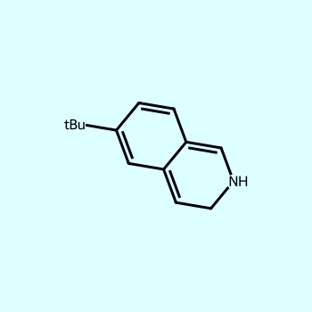 CC(C)(C)c1ccc2c(c1)=CCNC=2